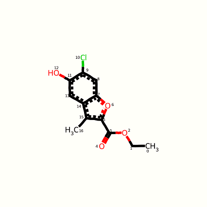 CCOC(=O)c1oc2cc(Cl)c(O)cc2c1C